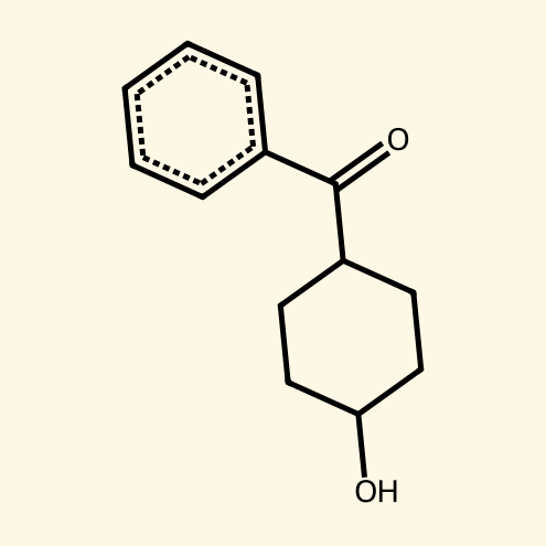 O=C(c1ccccc1)C1CCC(O)CC1